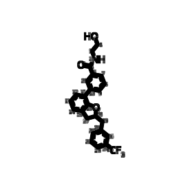 O=C(NCCO)c1cccc(-c2cccc3c2OC(Cc2cccc(C(F)(F)F)c2)C3)c1